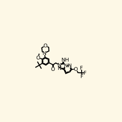 COc1c(N2CCOCC2)cc(C(=O)Cn2nc3ccc(OCC(F)(F)F)nn3c2=N)cc1C(C)(C)C